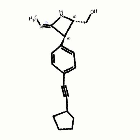 C/N=C1\N[C@H](CO)[C@H]1c1ccc(C#CC2CCCC2)cc1